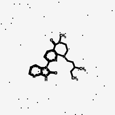 CCC(C)CCN1CCN(C)C(=O)c2ccc(-n3c(=O)[nH]c4ncccc43)nc21